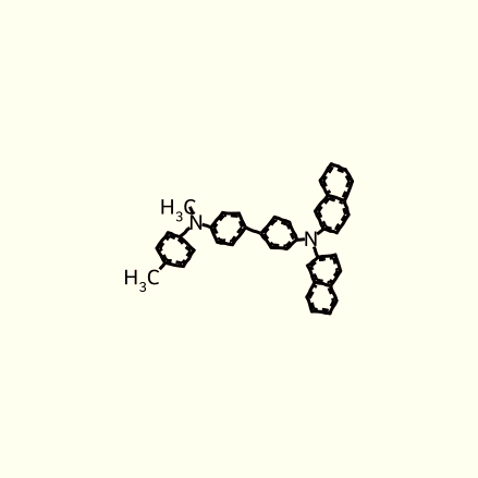 Cc1ccc(N(C)c2ccc(-c3ccc(N(c4ccc5ccccc5c4)c4ccc5ccccc5c4)cc3)cc2)cc1